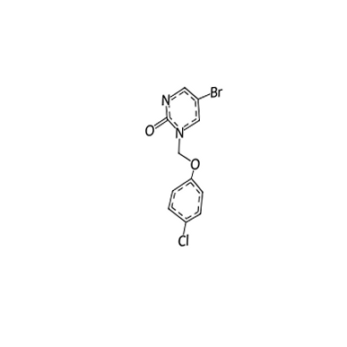 O=c1ncc(Br)cn1COc1ccc(Cl)cc1